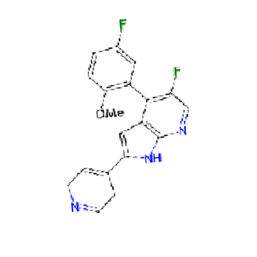 COc1ccc(F)cc1-c1c(F)cnc2[nH]c(C3=CCN=CC3)cc12